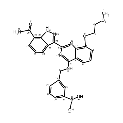 COCCOc1cccc2c(NCc3cccc(B(O)O)c3)nc(-c3n[nH]c4c(C(N)=O)cccc34)nc12